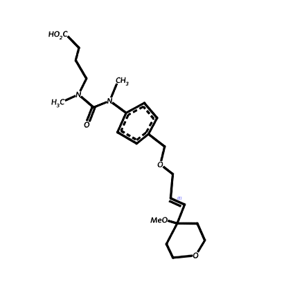 COC1(/C=C/COCc2ccc(N(C)C(=O)N(C)CCCC(=O)O)cc2)CCOCC1